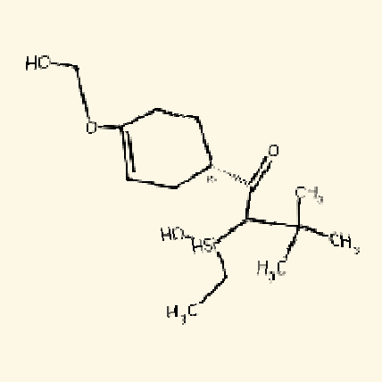 CC[SiH](O)C(C(=O)[C@@H]1CC=C(OCO)CC1)C(C)(C)C